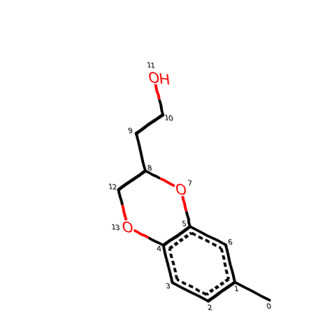 Cc1ccc2c(c1)OC(CCO)CO2